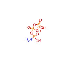 NP(=O)(O)OP(=O)(O)O[PH](=O)O